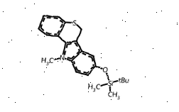 Cn1c2c(c3cc(O[Si](C)(C)C(C)(C)C)ccc31)CSc1ccccc1-2